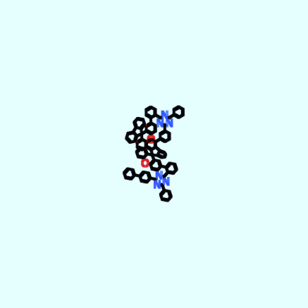 c1ccc(-c2ccc(-c3nc(-c4ccccc4)nc(-c4ccccc4-c4ccc5c(c4)C4(c6ccccc6O5)c5ccccc5-c5c(-c6cccc(-c7nc(-c8ccccc8)nc(-c8ccccc8-c8ccc9c(c8)C8(c%10ccccc%10O9)c9ccccc9-c9ccccc98)n7)c6)cccc54)n3)cc2)cc1